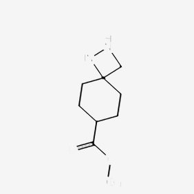 CC(C)(C)OC(=O)C1CCC2(CC1)CNN2